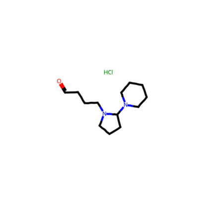 Cl.O=CCCCN1CCCC1N1CCCCC1